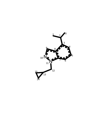 CC(C)c1cccc2c1cnn2CC1CC1